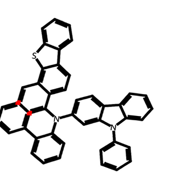 c1ccc(-c2ccccc2N(c2ccc3c4ccccc4n(-c4ccccc4)c3c2)c2cccc3c2ccc2c4ccccc4sc32)cc1